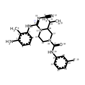 Cc1c(N)cccc1N/C(=N/C#N)N1CCN(C(=O)Nc2cccc(F)c2)CC1C(C)C